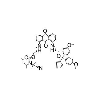 CCOP(OCCCNc1cccc2c1C(=O)c1c(NCCCOC(c3ccccc3)(c3ccc(OC)cc3)c3ccc(OC)cc3)cccc1C2=O)N(C(C)C)C(C)(C)C#N